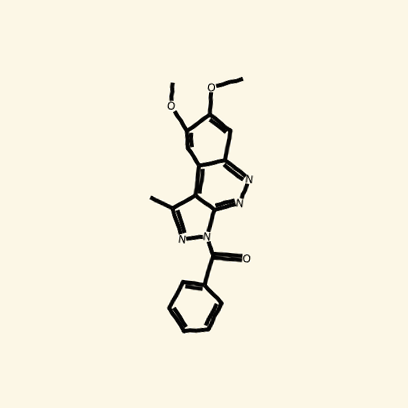 COc1cc2nnc3c(c(C)nn3C(=O)c3ccccc3)c2cc1OC